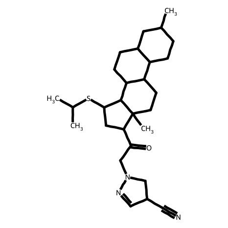 CC1CCC2C(CCC3C2CCC2(C)C(C(=O)CN4CC(C#N)C=N4)CC(SC(C)C)C32)C1